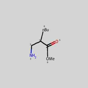 CCCCC(CN)C(=O)OC